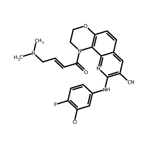 CN(C)C/C=C/C(=O)N1CCOc2ccc3cc(C#N)c(Nc4ccc(F)c(Cl)c4)nc3c21